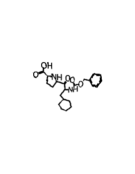 O=C(NC(CC1CCCCC1)C(=O)C1CC[C@@H](C(=O)O)N1)OCc1ccccc1